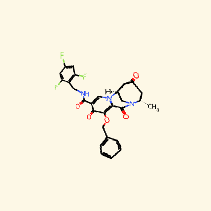 C[C@H]1CC(=O)C[C@H]2CN1C(=O)c1c(OCc3ccccc3)c(=O)c(C(=O)NCc3c(F)cc(F)cc3F)cn12